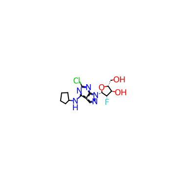 OC[C@H]1O[C@@H](n2ncc3c(NC4CCCC4)nc(Cl)nc32)[C@@H](F)[C@@H]1O